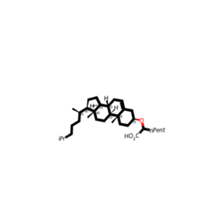 CCCCCC(O[C@H]1CC[C@@]2(C)C(=CC[C@H]3[C@@H]4CC[C@H]([C@H](C)CCCC(C)C)[C@@]4(C)CC[C@@H]32)C1)C(=O)O